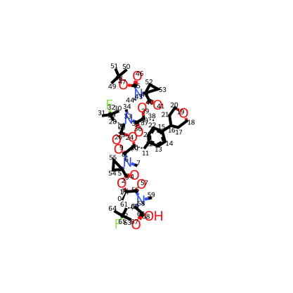 C[C@@H](OC(=O)C1(N(C)C(=O)[C@@H](Cc2ccc(C3CCOCC3)cc2)OC(=O)[C@H](CC(C)(C)F)N(C)C(=O)[C@@H](C)OC(=O)C2(N(C)C(=O)OC(C)(C)C)CC2)CC1)C(=O)N(C)[C@@H](CC(C)(C)F)C(=O)O